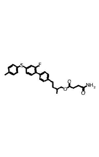 Cc1ccc(Sc2ccc(-c3ccc(CCC(C)COC(=O)CCC(N)=O)cc3)c(F)c2)cc1